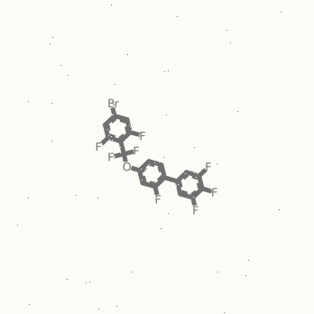 Fc1cc(OC(F)(F)c2c(F)cc(Br)cc2F)ccc1-c1cc(F)c(F)c(F)c1